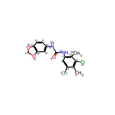 Cc1c(Cl)cc(NC(=O)Nc2ccc3c(c2)OCO3)c(C)c1Cl